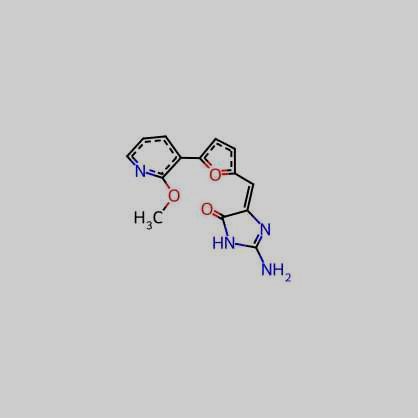 COc1ncccc1-c1ccc(C=C2N=C(N)NC2=O)o1